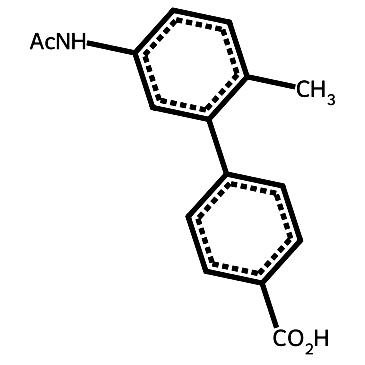 CC(=O)Nc1ccc(C)c(-c2ccc(C(=O)O)cc2)c1